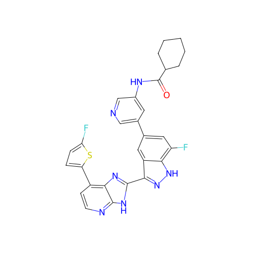 O=C(Nc1cncc(-c2cc(F)c3[nH]nc(-c4nc5c(-c6ccc(F)s6)ccnc5[nH]4)c3c2)c1)C1CCCCC1